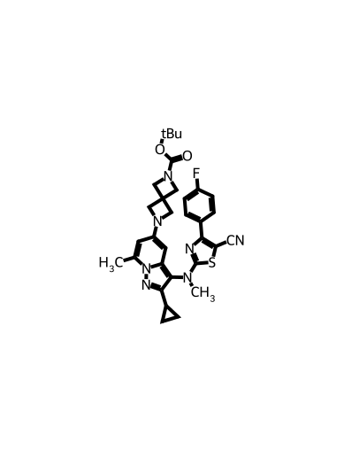 Cc1cc(N2CC3(CN(C(=O)OC(C)(C)C)C3)C2)cc2c(N(C)c3nc(-c4ccc(F)cc4)c(C#N)s3)c(C3CC3)nn12